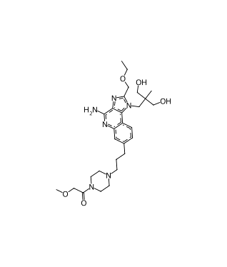 CCOCc1nc2c(N)nc3cc(CCCN4CCN(C(=O)COC)CC4)ccc3c2n1CC(C)(CO)CO